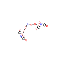 COc1ccc(CN(Cc2ccc(OC)cc2)C(=O)OCCOCCOCCN(C)CCOCCOCCOC(=O)N(Cc2ccc(OC)cc2)Cc2ccc(OC)cc2)cc1